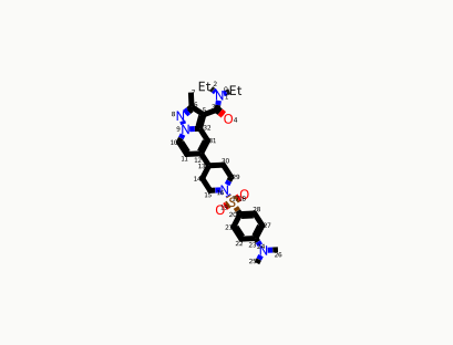 CCN(CC)C(=O)c1c(C)nn2ccc(C3CCN(S(=O)(=O)c4ccc(N(C)C)cc4)CC3)cc12